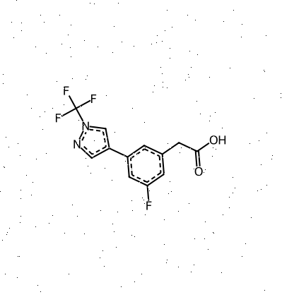 O=C(O)Cc1cc(F)cc(-c2cnn(C(F)(F)F)c2)c1